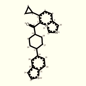 O=C(c1c(C2CC2)ccc2cncn12)C1CCC(c2ccc3sccc3c2)CC1